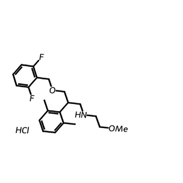 COCCNCC(COCc1c(F)cccc1F)c1c(C)cccc1C.Cl